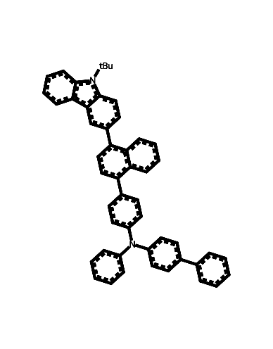 CC(C)(C)n1c2ccccc2c2cc(-c3ccc(-c4ccc(N(c5ccccc5)c5ccc(-c6ccccc6)cc5)cc4)c4ccccc34)ccc21